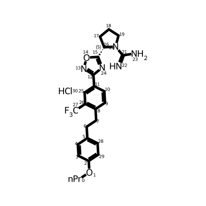 CCCOc1ccc(CCc2ccc(-c3noc([C@@H]4CCCN4C(=N)N)n3)cc2C(F)(F)F)cc1.Cl